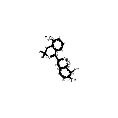 CC1(C)Cc2c(cccc2C(F)(F)F)C(c2cc3ccc(F)c(F)c3nn2)=N1